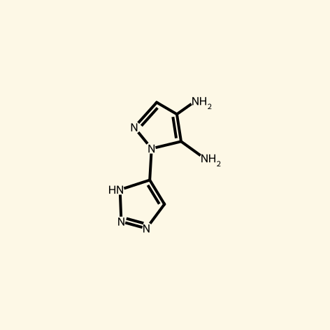 Nc1cnn(-c2cnn[nH]2)c1N